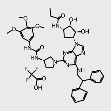 CCC(=O)N[C@H]1C[C@@H](n2cnc3c(NCC(c4ccccc4)c4ccccc4)nc(N4CC[C@@H](NC(=O)Nc5cc(OC)c(OC)c(OC)c5)C4)nc32)[C@H](O)[C@@H]1O.O=C(O)C(F)(F)F